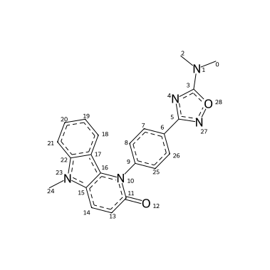 CN(C)c1nc(-c2ccc(-n3c(=O)ccc4c3c3ccccc3n4C)cc2)no1